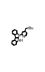 CC(C)(C)Cc1ccnc(-n2c3ccccc3c3c4ccccc4[nH]c32)c1